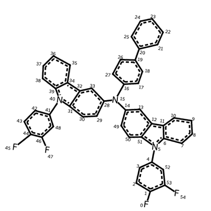 Fc1ccc(-n2c3ccccc3c3cc(N(c4ccc(-c5ccccc5)cc4)c4ccc5c(c4)c4ccccc4n5-c4ccc(F)c(F)c4)ccc32)cc1F